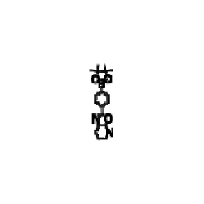 CC1(C)OB(c2ccc(-c3nc4cccnc4o3)cc2)OC1(C)C